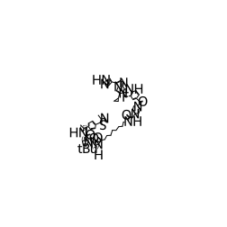 Cc1ncsc1-c1ccc([C@H](C)NC(=O)[C@@H]2CCCN2C(=O)[C@@H](NC(=O)CCCCCCCCNC(=O)CN2CCN(C(=O)c3ccc(Nc4nc(C5CC5)cn5c(-c6cn[nH]c6)cnc45)c(F)c3)CC2)C(C)(C)C)cc1